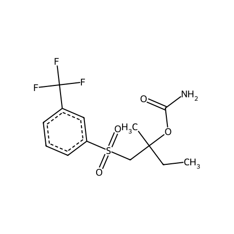 CCC(C)(CS(=O)(=O)c1cccc(C(F)(F)F)c1)OC(N)=O